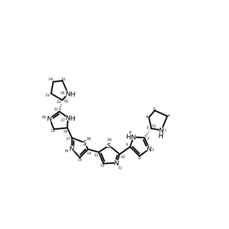 c1nc([C@@H]2CCCN2)[nH]c1-c1ncc(-c2cnc(C3CN=C([C@@H]4CCCN4)N3)s2)s1